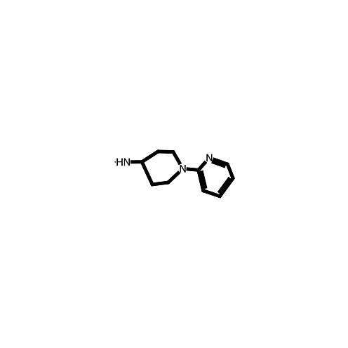 [NH]C1CCN(c2ccccn2)CC1